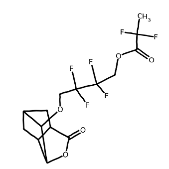 CC(F)(F)C(=O)OCC(F)(F)C(F)(F)COC1C2CC3C(=O)OC1C3C2